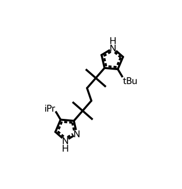 CC(C)c1c[nH]nc1C(C)(C)CCC(C)(C)c1c[nH]cc1C(C)(C)C